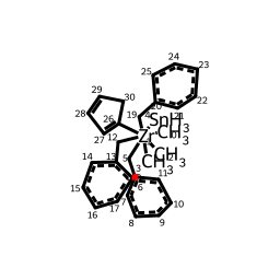 [CH3][Zr]([CH3])([CH3])([SnH3])([CH2]c1ccccc1)([CH2]c1ccccc1)([CH2]c1ccccc1)[C]1=CC=CC1